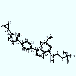 C=Cc1cc(NCCC(F)(F)F)c2ncc(-c3ccc(-c4cnc(C5CC5)[nH]4)cc3)n2n1